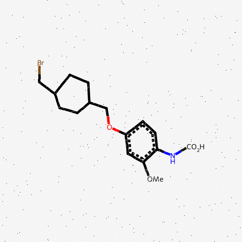 COc1cc(OCC2CCC(CBr)CC2)ccc1NC(=O)O